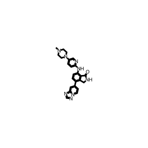 CN1CCN(c2ccc(Nc3ccc(-c4ccn5ncnc5c4)c4c3C(=O)NC4)nc2)CC1